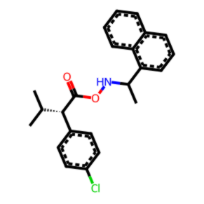 CC(NOC(=O)[C@H](c1ccc(Cl)cc1)C(C)C)c1cccc2ccccc12